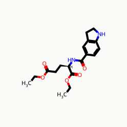 CCOC(=O)CC[C@@H](NC(=O)c1ccc2c(c1)CCN2)C(=O)OCC